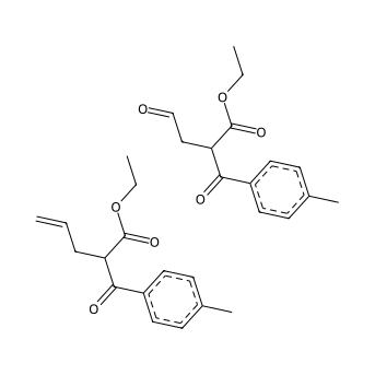 C=CCC(C(=O)OCC)C(=O)c1ccc(C)cc1.CCOC(=O)C(CC=O)C(=O)c1ccc(C)cc1